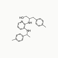 Cc1ccc(CC(CO)Nc2ncccc2NC(C)c2ccc(C)cc2)cc1